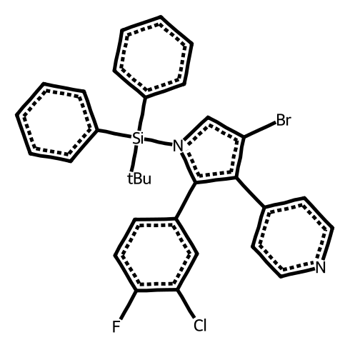 CC(C)(C)[Si](c1ccccc1)(c1ccccc1)n1cc(Br)c(-c2ccncc2)c1-c1ccc(F)c(Cl)c1